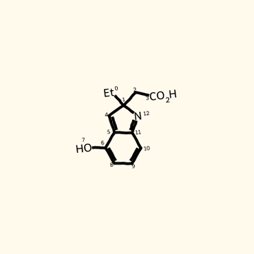 CCC1(CC(=O)O)C=c2c(O)cccc2=N1